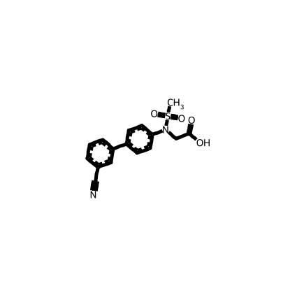 CS(=O)(=O)N(CC(=O)O)c1ccc(-c2cccc(C#N)c2)cc1